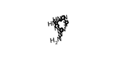 NC1CN(c2cncc(-c3cc4c(-c5cc6c(-c7ccc(F)s7)nccc6[nH]5)n[nH]c4cn3)n2)C1